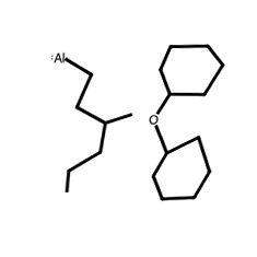 C1CCC(OC2CCCCC2)CC1.CCCC(C)C[CH2][Al]